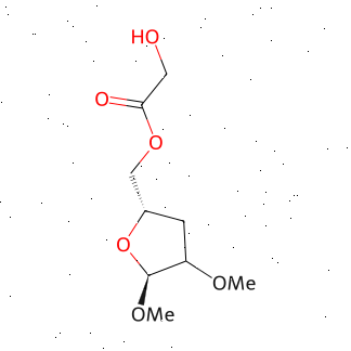 COC1C[C@@H](COC(=O)CO)O[C@@H]1OC